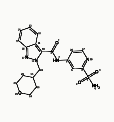 NS(=O)(=O)c1cc(NC(=O)c2c3ccccc3nn2CC2CCOCC2)ccn1